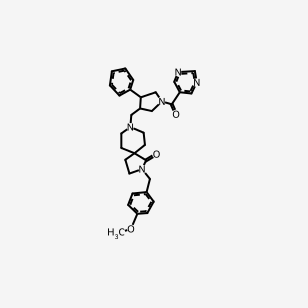 COc1ccc(CN2CCC3(CCN(CC4CN(C(=O)c5cncnc5)CC4c4ccccc4)CC3)C2=O)cc1